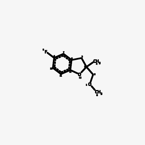 COCC1(C)Cc2cc(F)ccc2O1